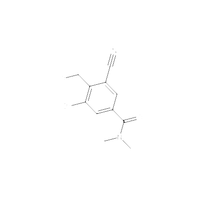 CN(C)C(=O)c1cc(Br)c(CO)c(C#N)c1